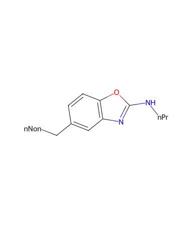 CCCCCCCCCCc1ccc2oc(NCCC)nc2c1